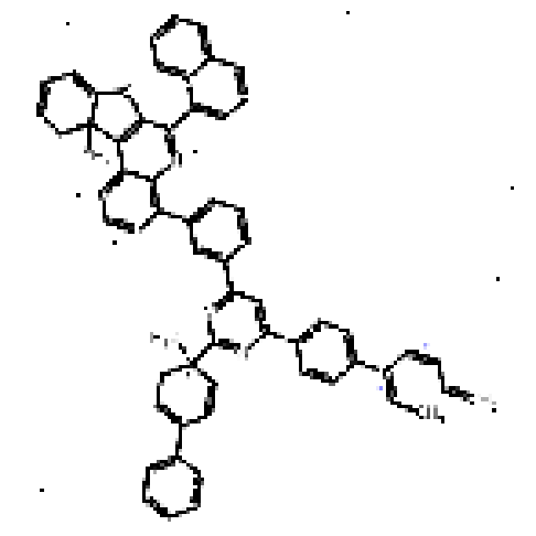 C=C/C=C\C(=C/C)c1ccc(-c2cc(-c3cccc(-c4cccc5c6c(c(-c7cccc8ccccc78)nc45)SC4=CC=CCC46C)c3)nc([C@]3(C)C=CC(c4ccccc4)=CC3)n2)cc1